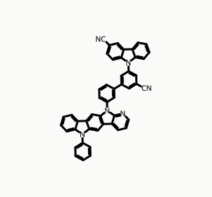 N#Cc1cc(-c2cccc(-n3c4cc5c6ccccc6n(-c6ccccc6)c5cc4c4cccnc43)c2)cc(-n2c3ccccc3c3cc(C#N)ccc32)c1